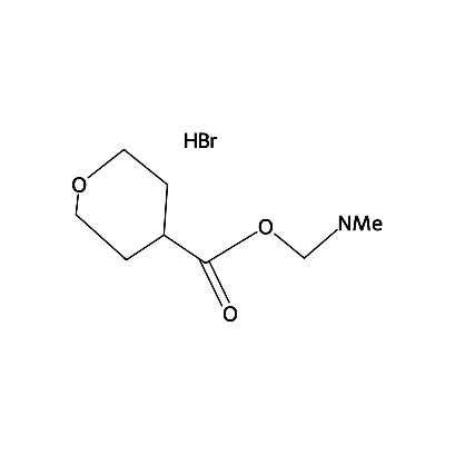 Br.CNCOC(=O)C1CCOCC1